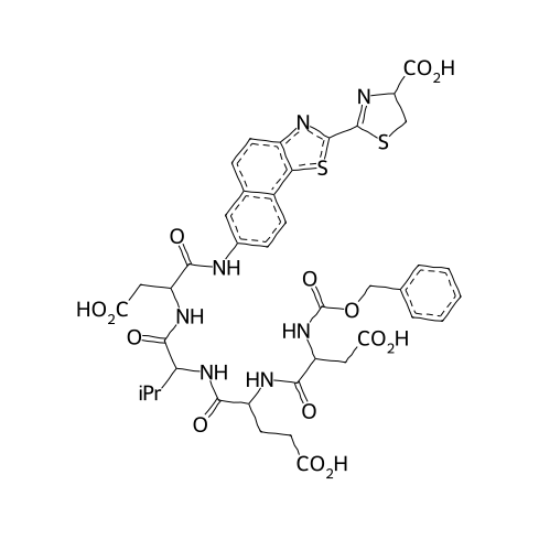 CC(C)C(NC(=O)C(CCC(=O)O)NC(=O)C(CC(=O)O)NC(=O)OCc1ccccc1)C(=O)NC(CC(=O)O)C(=O)Nc1ccc2c(ccc3nc(C4=NC(C(=O)O)CS4)sc32)c1